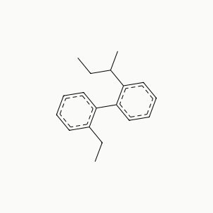 CCc1ccccc1-c1ccccc1C(C)CC